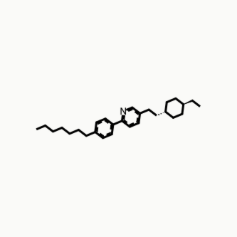 CCCCCCCc1ccc(-c2ccc(CC[C@H]3CC[C@H](CC)CC3)cn2)cc1